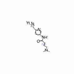 CN(C)C/C=C/C(=O)Nc1ccc(CN)nc1